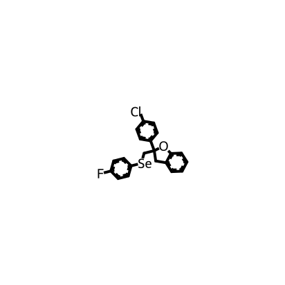 Fc1ccc([Se]CC2(c3ccc(Cl)cc3)Cc3ccccc3O2)cc1